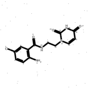 Nc1ccc(Cl)cc1C(=O)NCCn1ccc(=O)[nH]c1=O